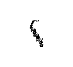 COCCCOCc1csc(NNc2ccc(NNc3ccc(NNc4ccc(N5CCCC5)s4)cc3C)cc2C)n1